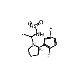 [CH2]C(N[SH](=O)=O)N1CCC[C@@H]1c1cc(F)ccc1F